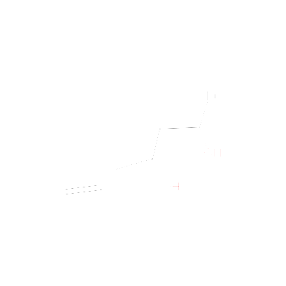 C=CCC(O)CC(O)CC